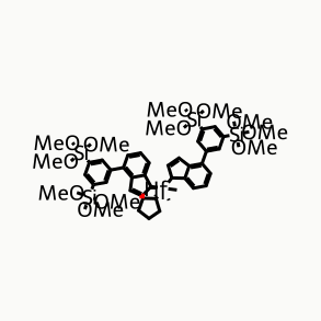 CO[Si](OC)(OC)c1cc(-c2cccc3c2C=C[CH]3[Hf]([CH3])([CH3])(=[C]2CCCC2)[CH]2C=Cc3c(-c4cc([Si](OC)(OC)OC)cc([Si](OC)(OC)OC)c4)cccc32)cc([Si](OC)(OC)OC)c1